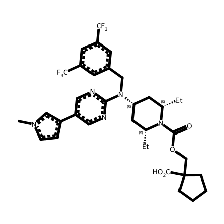 CC[C@@H]1C[C@H](N(Cc2cc(C(F)(F)F)cc(C(F)(F)F)c2)c2ncc(-c3ccn(C)c3)cn2)C[C@H](CC)N1C(=O)OCC1(C(=O)O)CCCC1